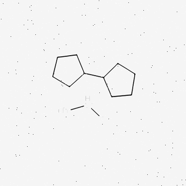 C1CCC(C2CCCC2)C1.CCC[SiH2]Cl